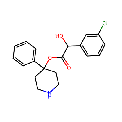 O=C(OC1(c2ccccc2)CCNCC1)C(O)c1cccc(Cl)c1